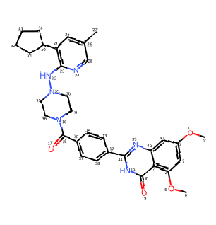 COc1cc(OC)c2c(=O)[nH]c(-c3ccc(C(=O)N4CCN(Nc5ncc(C)cc5C5CCCC5)CC4)cc3)nc2c1